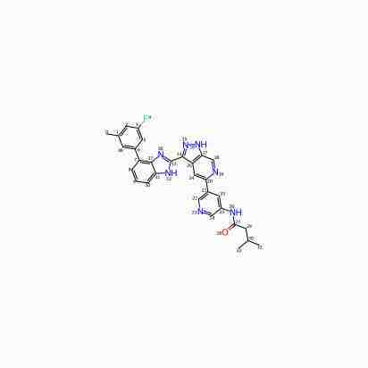 Cc1cc(F)cc(-c2cccc3[nH]c(-c4n[nH]c5cnc(-c6cncc(NC(=O)CC(C)C)c6)cc45)nc23)c1